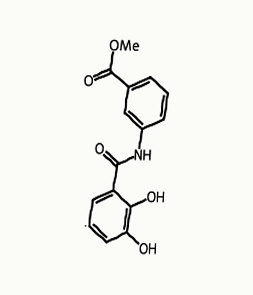 COC(=O)c1cccc(NC(=O)c2c[c]cc(O)c2O)c1